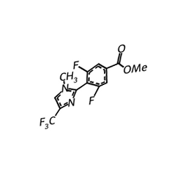 COC(=O)c1cc(F)c(-c2nc(C(F)(F)F)cn2C)c(F)c1